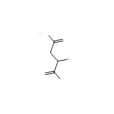 COC(=O)CC(N)C(=O)C(C)(C)C